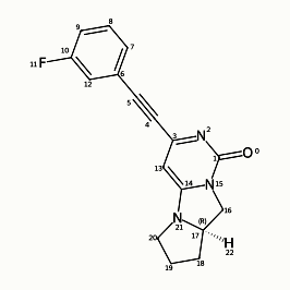 O=c1nc(C#Cc2cccc(F)c2)cc2n1C[C@H]1CCCN21